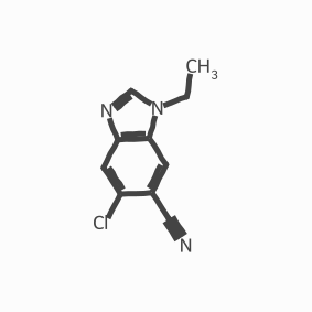 CCn1cnc2cc(Cl)c(C#N)cc21